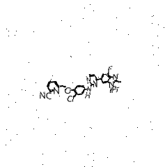 Cc1nc2c(F)cc(-c3ccnc(Nc4ccc(OCc5cccc(C#N)n5)c(Cl)c4)n3)cc2n1C(C)C